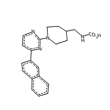 O=C(O)NCC1CCN(c2nccc(-c3ccc4ccccc4c3)n2)CC1